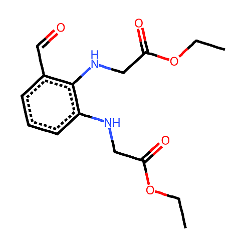 CCOC(=O)CNc1cccc(C=O)c1NCC(=O)OCC